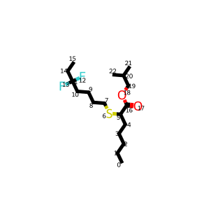 CCCCCC(SCCCCC(F)(F)CC)C(=O)OCC(C)C